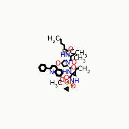 C=CCCCC(=O)N[C@H](C(=O)N1C[C@H](Oc2cc(-c3ccccc3)nc3cc(OC)ccc23)C[C@H]1C(=O)NC1(C(=O)NS(=O)(=O)C2CC2)CC1C=C)C(C)(C)C